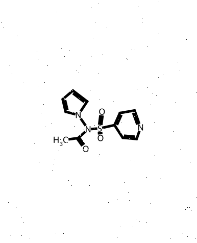 CC(=O)N(n1cccc1)S(=O)(=O)c1ccncc1